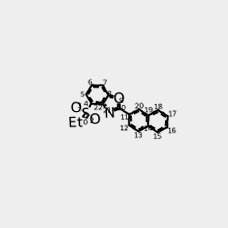 CCS(=O)(=O)c1cccc2oc(-c3ccc4ccccc4c3)nc12